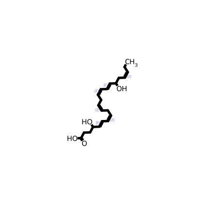 CC/C=C\CC(O)/C=C/C=C\C/C=C\C/C=C\C=C\C(O)CCC(=O)O